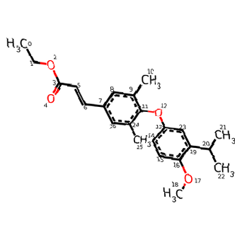 CCOC(=O)/C=C/c1cc(C)c(Oc2ccc(OC)c(C(C)C)c2)c(C)c1